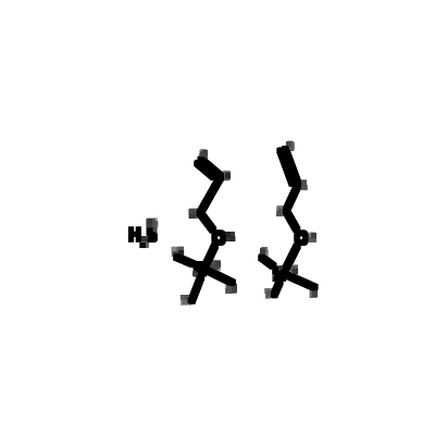 C=CCO[Si](C)(C)C.C=CCO[Si](C)(C)C.S